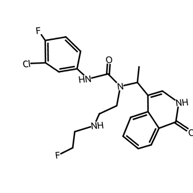 CC(c1c[nH]c(=O)c2ccccc12)N(CCNCCF)C(=O)Nc1ccc(F)c(Cl)c1